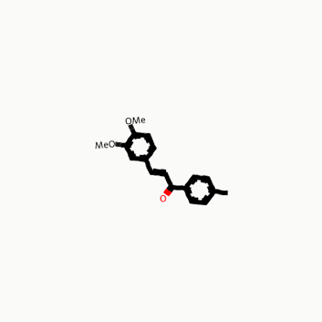 COc1ccc(/C=C/C(=O)c2ccc(C)cc2)cc1OC